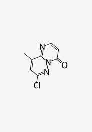 Cc1cc(Cl)nn2c(=O)ccnc12